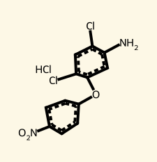 Cl.Nc1cc(Oc2ccc([N+](=O)[O-])cc2)c(Cl)cc1Cl